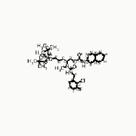 CN(C(=O)NCc1cccc(F)c1Cl)[C@@H](CCCOP(=O)(OC(C)(C)C)OC(C)(C)C)COC(=O)Nc1cc2ccccc2cn1